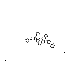 Cc1ccccc1C1=Cc2c(n(-c3ccccc3)c3c4c5c(cc23)C(C)C(C)c2cc3c6cc(-c7ccccc7C)ccc6n(-c6ccccc6)c3c(c2-5)C(C)C4C)CC1